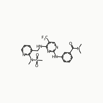 CN(C)C(=O)c1cccc(Nc2ncc(C(F)(F)F)c(NCc3cccnc3N(C)S(C)(=O)=O)n2)c1